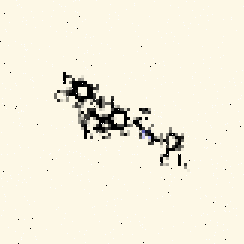 CC1CCCN1C/C=C/C(=O)N1CCc2c(sc3ncnc(Nc4ccc(F)c(Cl)c4)c23)C1